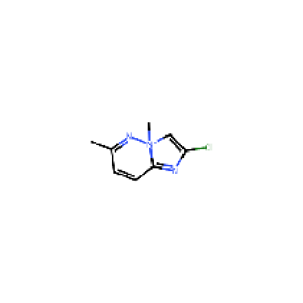 CC1=N[N+]2(C)C=C(Cl)N=C2C=C1